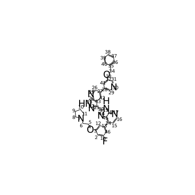 Fc1cc(OCCN2CCCC2)cc(-c2ccnc3[nH]c(-c4n[nH]c5ncc(-c6cncc(OCc7ccccc7)c6)cc45)nc23)c1